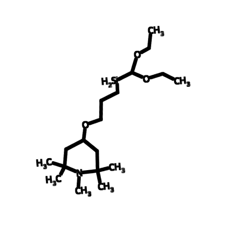 CCOC(OCC)[SiH2]CCCOC1CC(C)(C)N(C)C(C)(C)C1